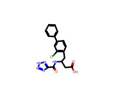 O=C(O)CC(Cc1ccc(-c2ccccc2)cc1Cl)NC(=O)c1nn[nH]n1